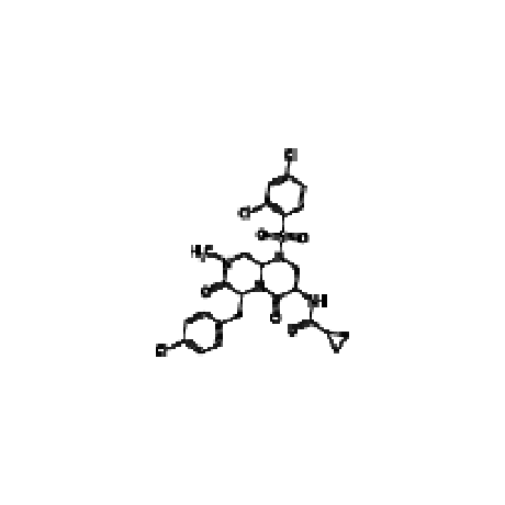 CN1CC2N(C(=O)C(NC(=O)C3CC3)CN2S(=O)(=O)c2ccc(Cl)cc2Cl)C(Cc2ccc(Cl)cc2)C1=O